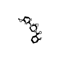 COc1ccnc(N2CCN(C(=O)c3ccccc3F)CC2)n1.Cl